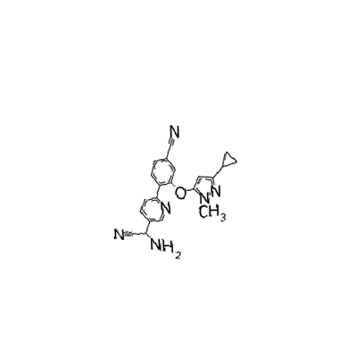 Cn1nc(C2CC2)cc1Oc1cc(C#N)ccc1-c1ccc(C(N)C#N)cn1